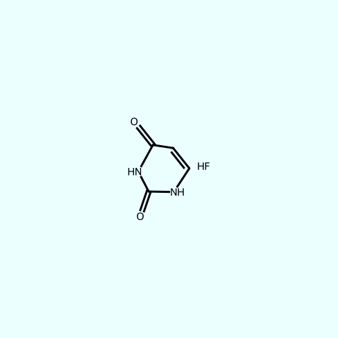 F.O=c1cc[nH]c(=O)[nH]1